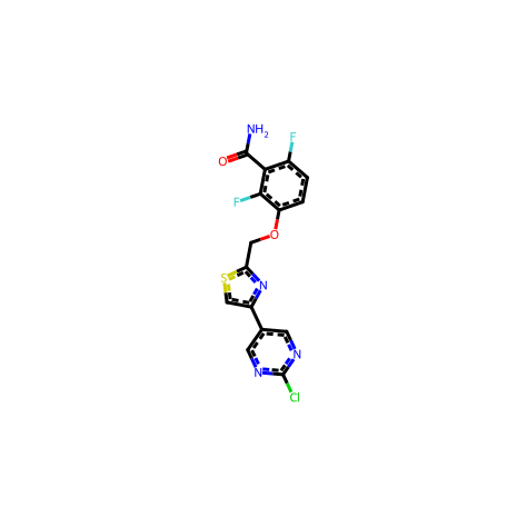 NC(=O)c1c(F)ccc(OCc2nc(-c3cnc(Cl)nc3)cs2)c1F